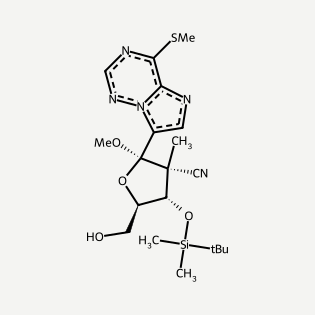 CO[C@@]1(c2cnc3c(SC)ncnn23)O[C@H](CO)[C@@H](O[Si](C)(C)C(C)(C)C)[C@@]1(C)C#N